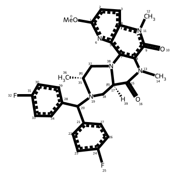 COc1ccc2c(n1)c1c(c(=O)n2C)N(C)C(=O)[C@H]2CN(C(c3ccc(F)cc3)c3ccc(F)cc3)[C@H](C)CN12